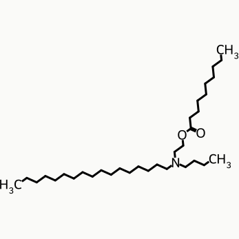 CCCCCCCCCCCCCCCCCN(CCCC)CCOC(=O)CCCCCCCCC